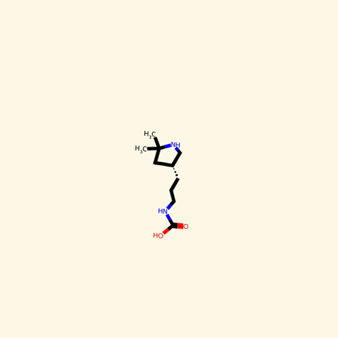 CC1(C)C[C@@H](CCCNC(=O)O)CN1